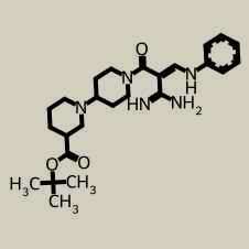 CC(C)(C)OC(=O)C1CCCN(C2CCN(C(=O)/C(=C/Nc3ccccc3)C(=N)N)CC2)C1